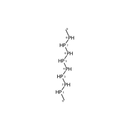 CPPPPPPPPC